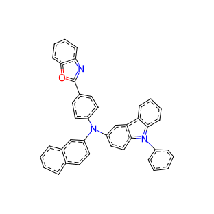 c1ccc(-n2c3ccccc3c3cc(N(c4ccc(-c5nc6ccccc6o5)cc4)c4ccc5ccccc5c4)ccc32)cc1